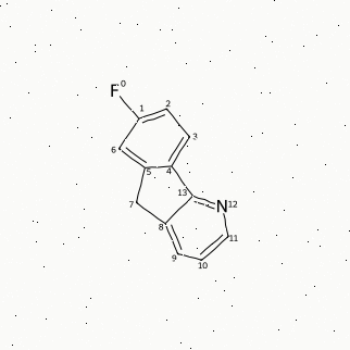 Fc1ccc2c(c1)Cc1cccnc1-2